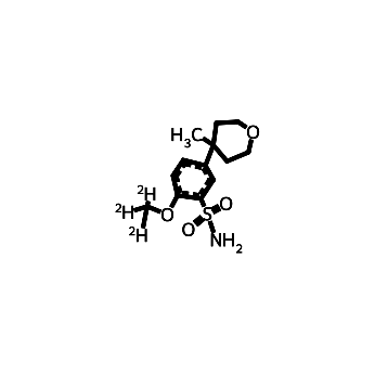 [2H]C([2H])([2H])Oc1ccc(C2(C)CCOCC2)cc1S(N)(=O)=O